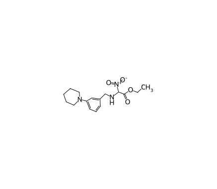 CCOC(=O)C(NCc1cccc(N2CCCCC2)c1)[N+](=O)[O-]